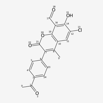 CC(=O)c1ccc(-c2c(C)c3cc(Cl)c(O)c(C=O)c3oc2=O)cc1